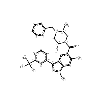 Cc1cc2c(cc1C(=O)N1C[C@H](C)N(Cc3ccccn3)C[C@H]1C)c(-c1ccnc(C(C)(C)O)n1)cn2C